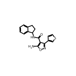 Nc1onc(-c2ccsc2)c1C(=O)NC1CCc2ccccc21